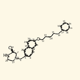 O=C1CN(Cc2ccc3cc(OCCCCCc4ccccc4)ccc3c2)CCN1